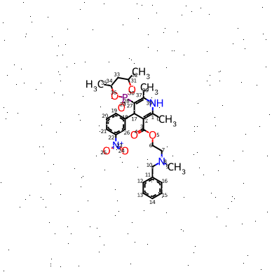 CC1=C(C(=O)OCCN(C)Cc2ccccc2)C(c2cccc([N+](=O)[O-])c2)C(P2(=O)OC(C)CC(C)O2)=C(C)N1